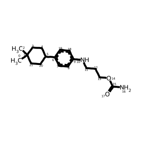 CC1(C)CCC(c2ccc(NCCCOC(N)=O)cc2)CC1